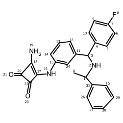 CC(NC(c1ccc(F)cc1)c1cccc(Nc2c(N)c(=O)c2=O)c1)c1ccccc1